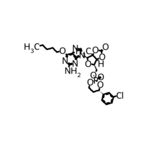 CCCCCOc1nc(N)nc2c1ncn2[C@@H]1O[C@H](CO[P@@]2(=O)OCC[C@@H](c3cccc(Cl)c3)O2)[C@H]2OC(=O)O[C@]21C